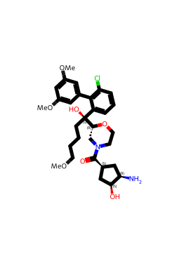 COCCCC[C@](O)(c1cccc(Cl)c1-c1cc(OC)cc(OC)c1)[C@H]1CN(C(=O)[C@H]2C[C@@H](N)[C@@H](O)C2)CCO1